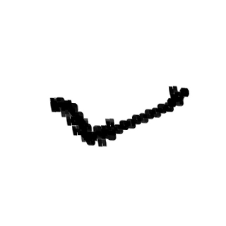 Cn1cc(NC(=O)c2nccn2C)cc1C(=O)NCCC(=O)Nc1cn(C)c(C(=O)Nc2cc(C(=O)N3CC(C(=O)Nc4cn(C)c(C(=O)NCCOCCOCCOCCOCCOCCOCCOCCOCCOc5ccc(NC(=O)OCc6ccccc6)cc5)n4)C3)n(C)c2)n1